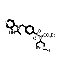 CCOCC(CC(C)C)N(C(=O)OCC)S(=O)(=O)c1ccc(CN2c3ccncc3NC2C)cc1